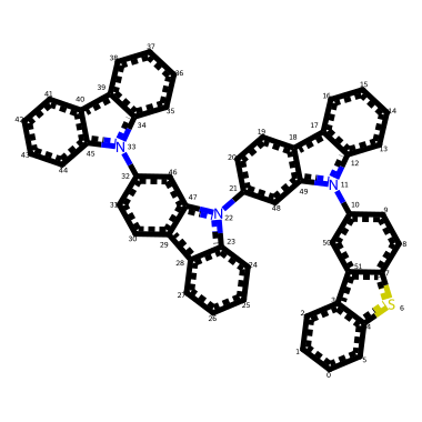 c1ccc2c(c1)sc1ccc(-n3c4ccccc4c4ccc(-n5c6ccccc6c6ccc(-n7c8ccccc8c8ccccc87)cc65)cc43)cc12